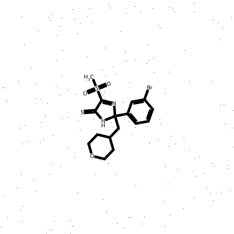 CS(=O)(=O)C1=NC(CC2CCOCC2)(c2cccc(Br)c2)NC1=S